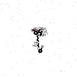 CC1=C(C(=O)O)C(C)(c2cc([N+](=O)[O-])ccc2OCCCCNCC(O)COc2ccccc2C#N)C(C(=O)O)=C(C)N1C